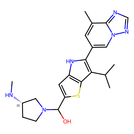 CN[C@H]1CCN(C(O)c2cc3[nH]c(-c4cc(C)c5ncnn5c4)c(C(C)C)c3s2)C1